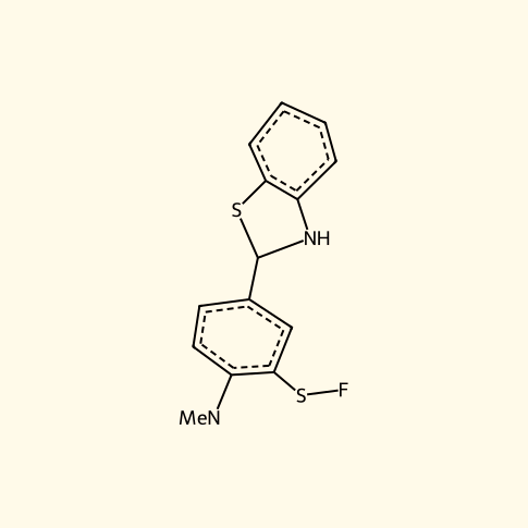 CNc1ccc(C2Nc3ccccc3S2)cc1SF